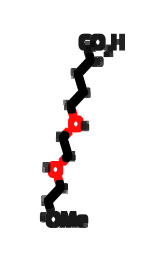 COCCOCCOCCCCC(=O)O